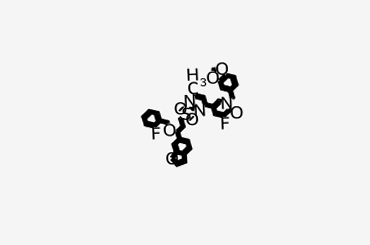 Cc1cc(-c2cc(F)c(=O)n(Cc3ccc4c(c3)OCO4)c2)nc(S(=O)(=O)CCC(OCc2ccccc2F)c2ccc3ccoc3c2)n1